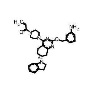 C=CC(=O)N1CCN(c2nc(OCc3cccc(N)c3)nc3c2CC[C@@H](N2CCc4ccccc42)C3)CC1